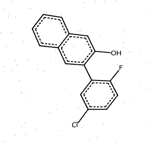 Oc1cc2ccccc2cc1-c1cc(Cl)ccc1F